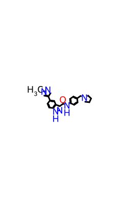 Cn1cc(-c2ccc3[nH]nc(C(=O)Nc4ccc(CN5CCCC5)cc4)c3c2)cn1